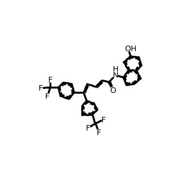 O=C(/C=C/C=C(c1ccc(C(F)(F)F)cc1)c1ccc(C(F)(F)F)cc1)Nc1cccc2ccc(O)cc12